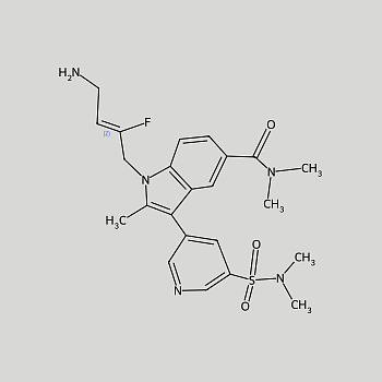 Cc1c(-c2cncc(S(=O)(=O)N(C)C)c2)c2cc(C(=O)N(C)C)ccc2n1C/C(F)=C/CN